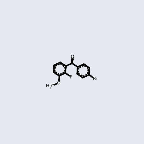 COc1cccc(C(=O)c2ccc(Br)cc2)c1F